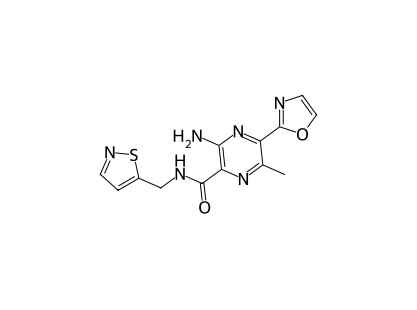 Cc1nc(C(=O)NCc2ccns2)c(N)nc1-c1ncco1